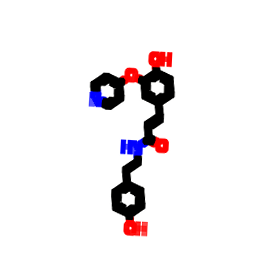 O=C(/C=C/c1ccc(O)c(Oc2ccncc2)c1)NCCc1ccc(O)cc1